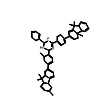 CC1C=CC2C(C1)C1=CC=C(C3=CC=C(C4N=C(C5=CC=C(C6=CCC7(C)C(=C6)C(C)(C)C6C=CC=CC67)CC5)NC(C5=CC=CCC5)N4)C(C)C3)CC1C2(C)C